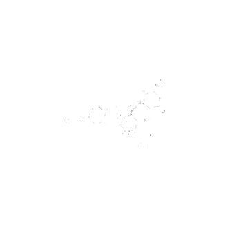 COc1ccc(Cn2cnc(C(C)F)c(Oc3c(C)cc(C#N)cc3Cl)c2=O)cc1